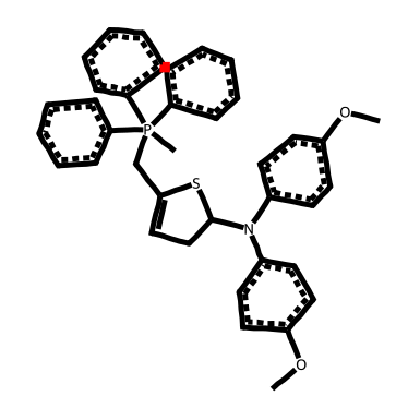 COc1ccc(N(c2ccc(OC)cc2)C2CC=C(CP(C)(c3ccccc3)(c3ccccc3)c3ccccc3)S2)cc1